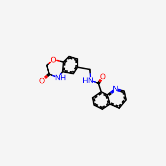 O=C1COc2ccc(CNC(=O)c3cccc4cccnc34)cc2N1